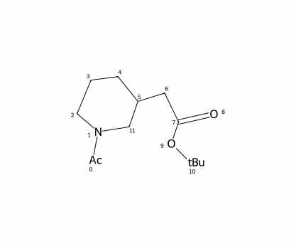 CC(=O)N1CCCC(CC(=O)OC(C)(C)C)C1